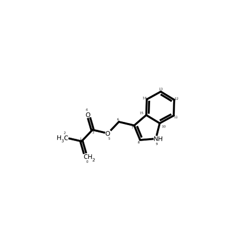 C=C(C)C(=O)OCc1c[nH]c2ccccc12